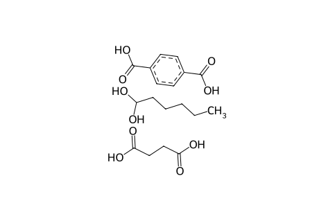 CCCCCC(O)O.O=C(O)CCC(=O)O.O=C(O)c1ccc(C(=O)O)cc1